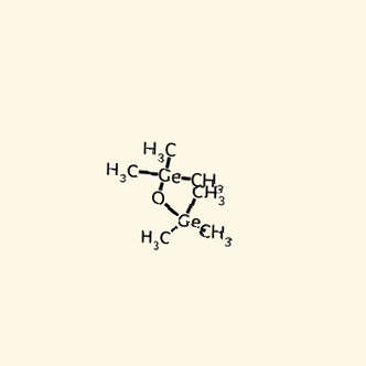 [CH3][Ge]([CH3])([CH3])[O][Ge]([CH3])([CH3])[CH3]